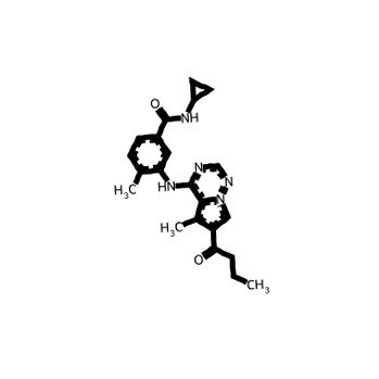 CCCC(=O)c1cn2ncnc(Nc3cc(C(=O)NC4CC4)ccc3C)c2c1C